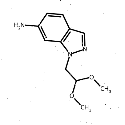 COC(Cn1ncc2ccc(N)cc21)OC